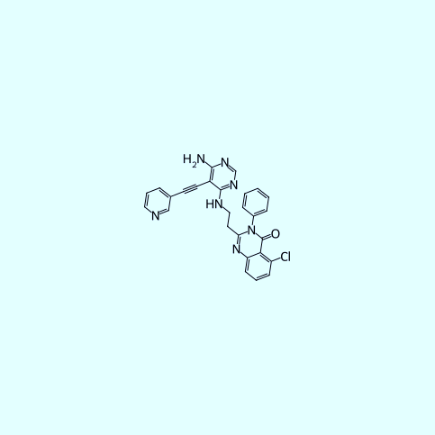 Nc1ncnc(NCCc2nc3cccc(Cl)c3c(=O)n2-c2ccccc2)c1C#Cc1cccnc1